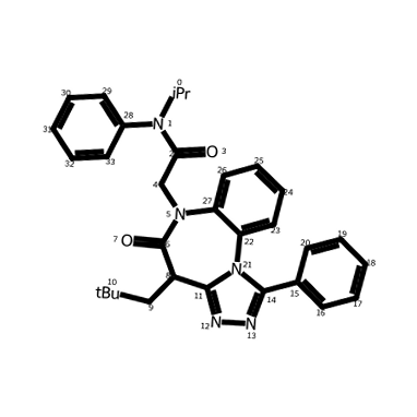 CC(C)N(C(=O)CN1C(=O)C(CC(C)(C)C)c2nnc(-c3ccccc3)n2-c2ccccc21)c1ccccc1